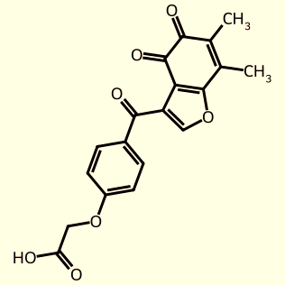 CC1=C(C)c2occ(C(=O)c3ccc(OCC(=O)O)cc3)c2C(=O)C1=O